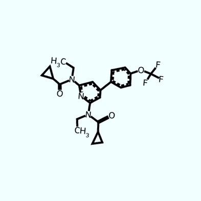 CCN(C(=O)C1CC1)c1cc(-c2ccc(OC(F)(F)F)cc2)cc(N(CC)C(=O)C2CC2)n1